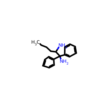 CCCCC(N)C(N)(c1ccccc1)c1ccccc1